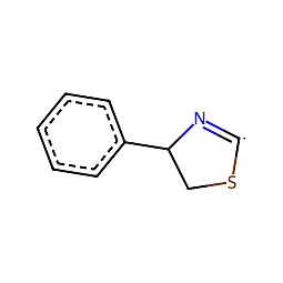 [C]1=NC(c2ccccc2)CS1